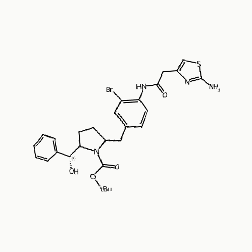 CC(C)(C)OC(=O)N1C(Cc2ccc(NC(=O)Cc3csc(N)n3)c(Br)c2)CCC1[C@H](O)c1ccccc1